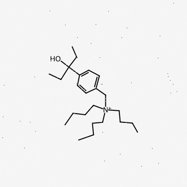 CCCC[N+](CCCC)(CCCC)Cc1ccc(C(O)(CC)CC)cc1